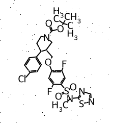 CN(c1ncns1)S(=O)(=O)c1cc(F)c(OCC2CN(C(=O)OC(C)(C)C)CCC2c2ccc(Cl)cc2)cc1F